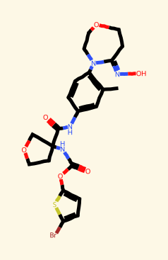 Cc1cc(NC(=O)C2(NC(=O)Oc3ccc(Br)s3)CCOC2)ccc1N1CCOCCC1=NO